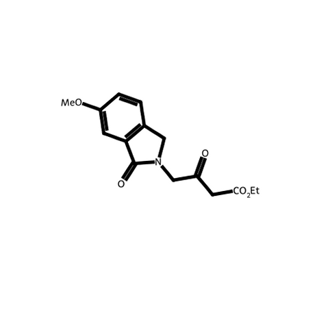 CCOC(=O)CC(=O)CN1Cc2ccc(OC)cc2C1=O